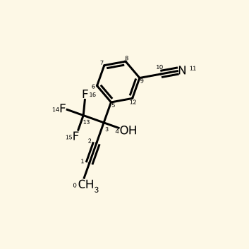 CC#CC(O)(c1cccc(C#N)c1)C(F)(F)F